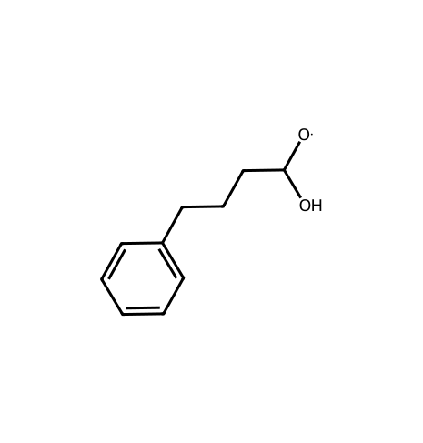 [O]C(O)CCCc1ccccc1